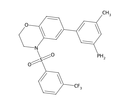 Cc1cc(P)cc(-c2ccc3c(c2)N(S(=O)(=O)c2cccc(C(F)(F)F)c2)CCO3)c1